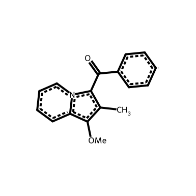 COc1c(C)c(C(=O)c2cc[c]cc2)n2ccccc12